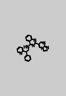 c1ccc(C(CNc2nc(-c3cnc4nccn4c3)nc3ccccc23)c2ccccn2)cc1